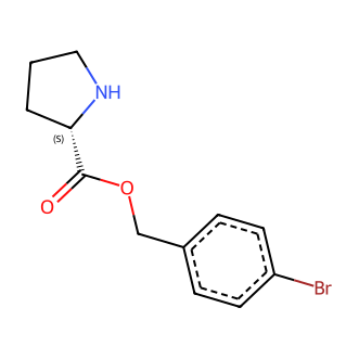 O=C(OCc1ccc(Br)cc1)[C@@H]1CCCN1